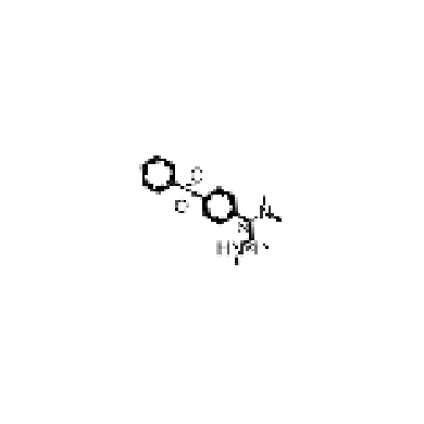 CN[C@@H](C)[C@H](c1ccc(S(=O)(=O)c2ccccc2)cc1)N(C)C